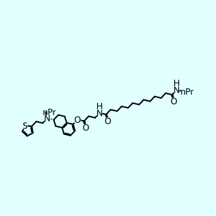 CCCNC(=O)CCCCCCCCCCCC(=O)NCCC(=O)Oc1cccc2c1CC[C@@H](N(CCC)CCc1cccs1)C2